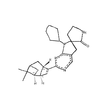 C[C@@H]1[C@@H](Nc2ncc3c(n2)N(C2CCCC2)C2(CCNC2=O)C3)CC2C[C@@H]1C2(C)C